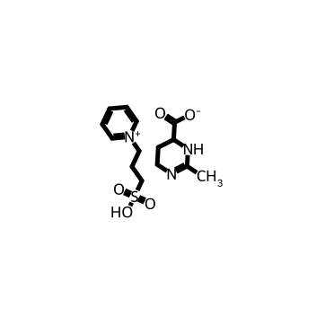 CC1=NCCC(C(=O)[O-])N1.O=S(=O)(O)CCC[n+]1ccccc1